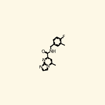 Cc1cc(CNC(=O)c2cc(C)n3ccnc3n2)ccc1F